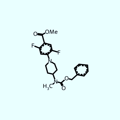 COC(=O)c1cc(F)c(N2CCC(N(C)C(=O)OCc3ccccc3)CC2)cc1F